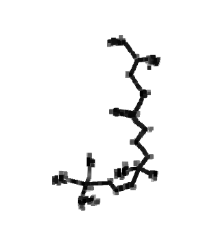 CCCCCC(CCCC)COC(=O)CCCC(C)(/C=C\CC(C)(C)CC)CC